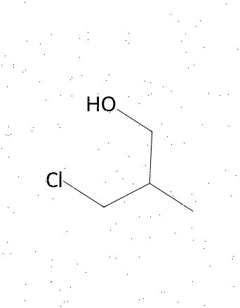 CC(CO)CCl